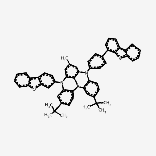 Cc1cc2c3c(c1)N(c1ccc4c(c1)oc1ccccc14)c1cc(C(C)(C)C)ccc1B3c1cc(C(C)(C)C)ccc1N2c1ccc(-c2cccc3c2sc2ccccc23)cc1